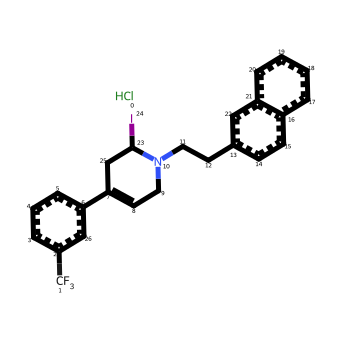 Cl.FC(F)(F)c1cccc(C2=CCN(CCc3ccc4ccccc4c3)C(I)C2)c1